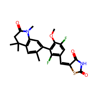 COc1c(F)cc(/C=C2/SC(=O)NC2=O)c(F)c1-c1cc2c(cc1C)C(C)(C)CC(=O)N2C